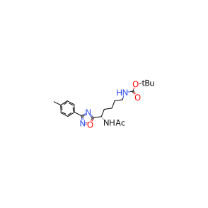 CC(=O)N[C@@H](CCCCNC(=O)OC(C)(C)C)c1nc(-c2ccc(C)cc2)no1